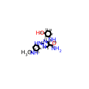 CNC1CCC(Nc2ncc(C(N)=O)c(NC3CCC[C@H](O)C3)n2)CC1